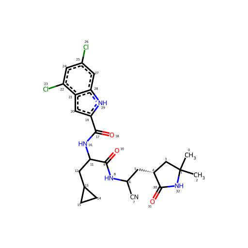 CC1(C)C[C@@H](CC(C#N)NC(=O)C(CC2CC2)NC(=O)c2cc3c(Cl)cc(Cl)cc3[nH]2)C(=O)N1